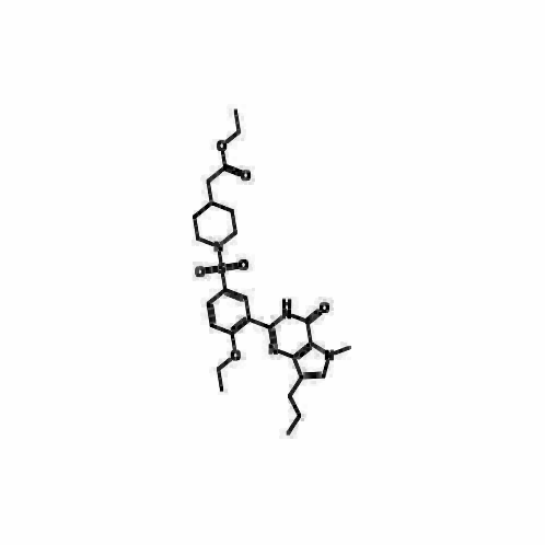 CCCc1cn(C)c2c(=O)[nH]c(-c3cc(S(=O)(=O)N4CCC(CC(=O)OCC)CC4)ccc3OCC)nc12